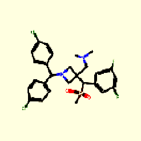 CN(C)CC1(C(c2cc(F)cc(F)c2)S(C)(=O)=O)CN(C(c2ccc(Cl)cc2)c2ccc(Cl)cc2)C1